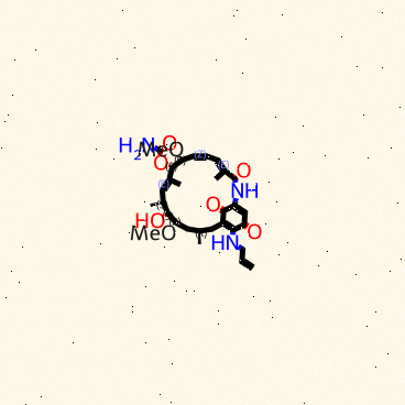 C=CCNC1=C2C[C@@H](C)C[C@@H](OC)[C@@H](O)[C@@H](C)/C=C(\C)[C@H](OC(N)=O)[C@H](OC)/C=C\C=C(/C)C(=O)NC(=CC1=O)C2=O